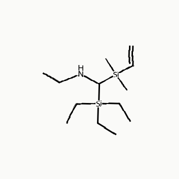 C=C[Si](C)(C)C(NCC)[Si](CC)(CC)CC